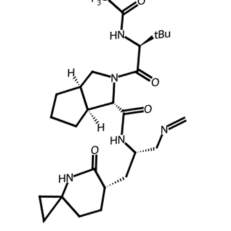 C=NC[C@H](C[C@@H]1CCC2(CC2)NC1=O)NC(=O)[C@@H]1[C@H]2CCC[C@H]2CN1C(=O)[C@@H](NC(=O)C(F)(F)F)C(C)(C)C